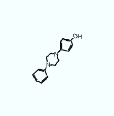 Oc1ccc(N2CCN(c3cc[c]cc3)CC2)cc1